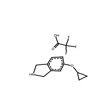 O=C(O)C(F)(F)F.c1cc2c(cc1OC1CC1)CNC2